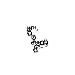 Cn1ncc2ccc(N3CCC(C(=O)NC(CN4CCCC4)C(O)c4ccc5c(c4)OCCO5)C3)cc21